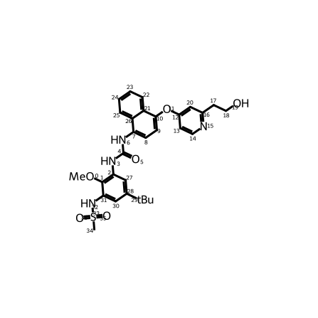 COc1c(NC(=O)Nc2ccc(Oc3ccnc(CCO)c3)c3ccccc23)cc(C(C)(C)C)cc1NS(C)(=O)=O